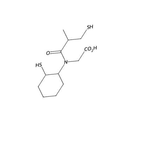 CC(CS)C(=O)N(CC(=O)O)C1CCCCC1S